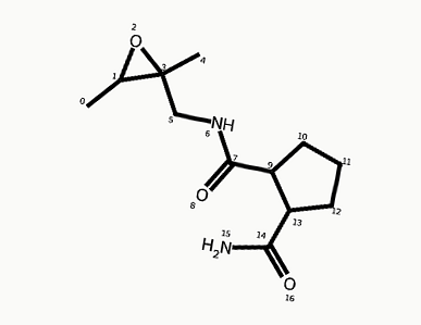 CC1OC1(C)CNC(=O)C1CCCC1C(N)=O